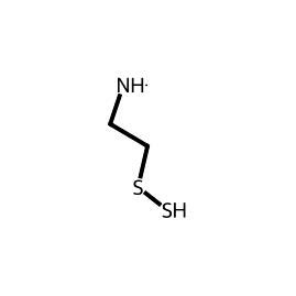 [NH]CCSS